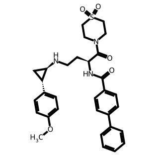 COc1ccc([C@@H]2C[C@H]2NCC[C@H](NC(=O)c2ccc(-c3ccccc3)cc2)C(=O)N2CCS(=O)(=O)CC2)cc1